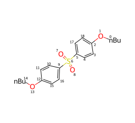 CCCCOc1ccc(S(=O)(=O)c2ccc(OCCCC)cc2)cc1